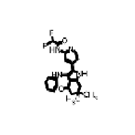 CC1(C)CC(=O)c2c([nH]c(-c3ccnc(NC(=O)C(F)F)c3)c2Nc2ccccc2)C1